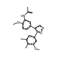 C=C(C)Nc1cc(-c2cnoc2-c2cc(C)c(C)c(OC)c2)ccc1OC